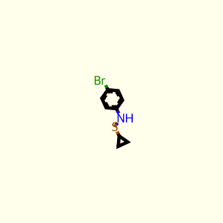 Brc1ccc(NSC2CC2)cc1